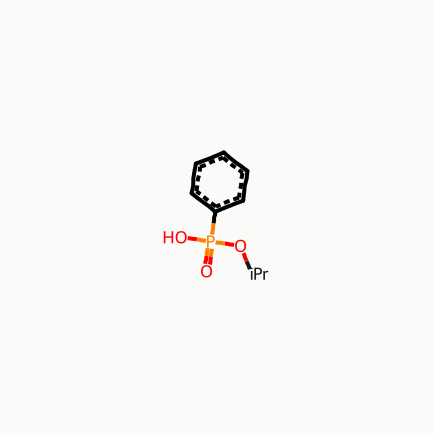 CC(C)OP(=O)(O)c1ccccc1